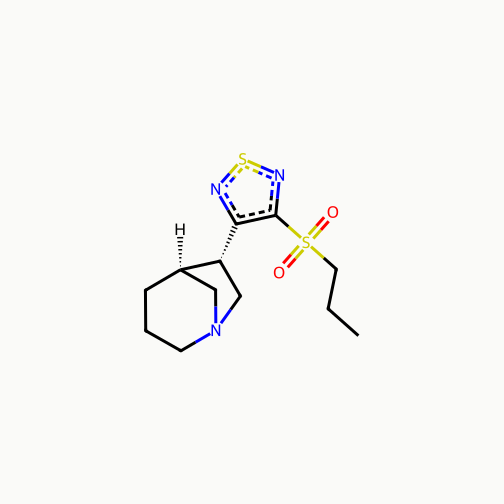 CCCS(=O)(=O)c1nsnc1[C@@H]1CN2CCC[C@@H]1C2